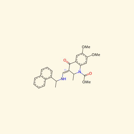 COC(=O)N1c2cc(OC)c(OC)cc2C(=O)/C(=C/NC(C)c2cccc3ccccc23)C1C